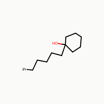 CC(C)CCCCCC1(O)CCCCC1